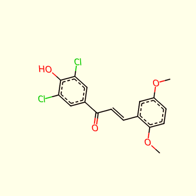 COc1ccc(OC)c(C=CC(=O)c2cc(Cl)c(O)c(Cl)c2)c1